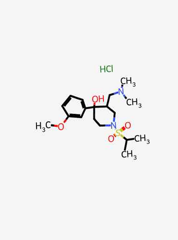 COc1cccc(C2(O)CCN(S(=O)(=O)C(C)C)CC2CN(C)C)c1.Cl